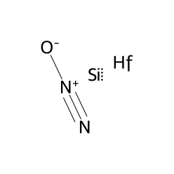 N#[N+][O-].[Hf].[Si]